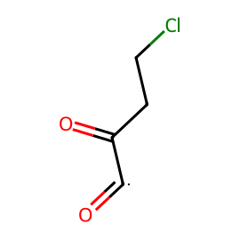 O=[C]C(=O)CCCl